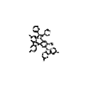 CC1=CC2=C(CC1)N(C1=C(C#N)C=C(C3NC(C4=CCCC=C4)N3C3CC=CCC3)C(n3c4c(c5c3C=CC(C)C5)CC(C)C=C4)C1)C1C=CC(C)CC21